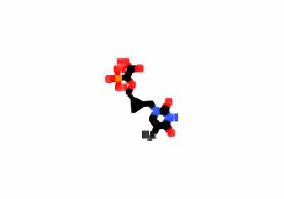 Cc1cn(CC2C[C@@H]2COC(C(=O)O)P(=O)(O)O)c(=O)[nH]c1=O